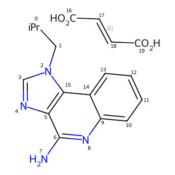 CC(C)Cn1cnc2c(N)nc3ccccc3c21.O=C(O)/C=C/C(=O)O